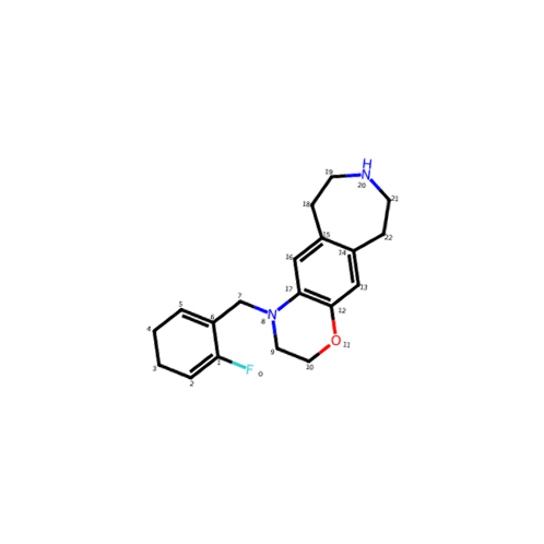 FC1=CCCC=C1CN1CCOc2cc3c(cc21)CCNCC3